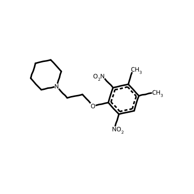 Cc1cc([N+](=O)[O-])c(OCCN2CCCCC2)c([N+](=O)[O-])c1C